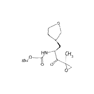 CC(C)(C)OC(=O)N[C@@H](C[C@H]1CCOC1)C(=O)[C@@]1(C)CO1